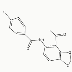 CC(=O)c1c(NC(=O)c2ccc(F)cc2)ccc2c1OCO2